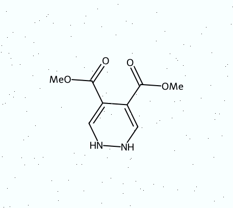 COC(=O)C1=CNNC=C1C(=O)OC